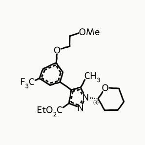 CCOC(=O)c1nn([C@H]2CCCCO2)c(C)c1-c1cc(OCCOC)cc(C(F)(F)F)c1